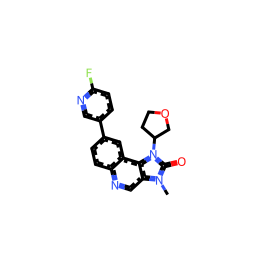 Cn1c(=O)n(C2CCOC2)c2c3cc(-c4ccc(F)nc4)ccc3ncc21